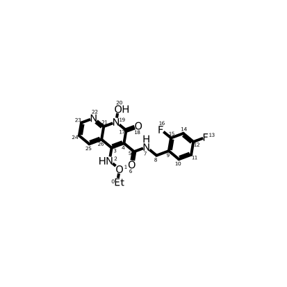 CCONc1c(C(=O)NCc2ccc(F)cc2F)c(=O)n(O)c2ncccc12